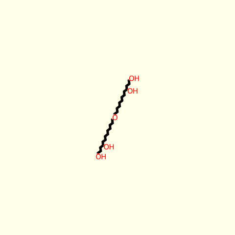 OCCCC(O)CCCCCCCCCOCCCCCCCCCC(O)CCCO